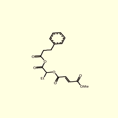 CCC(OC(=O)/C=C/C(=O)OC)C(=O)OC(=O)CCc1ccccc1